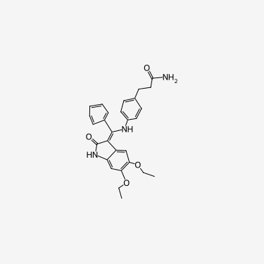 CCOc1cc2c(cc1OCC)C(=C(Nc1ccc(CCC(N)=O)cc1)c1ccccc1)C(=O)N2